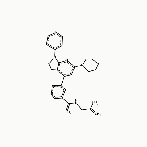 C=C(N)CNC(=C)c1cccc(-c2cc(N3CCCCC3)nc3c2CCN3c2ccncc2)c1